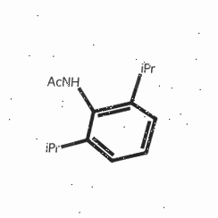 CC(=O)Nc1c(C(C)C)cccc1C(C)C